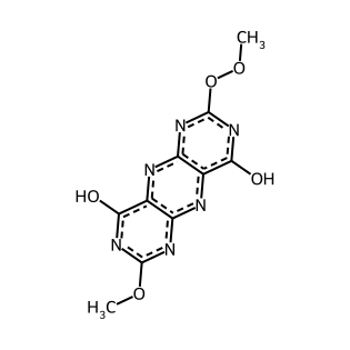 COOc1nc(O)c2nc3nc(OC)nc(O)c3nc2n1